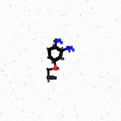 COCOc1ccc(N)c(N)c1